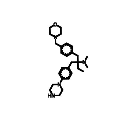 CCC(Cc1ccc(CN2CCOCC2)cc1)(Cc1ccc(N2CCNCC2)cc1)N(C)C